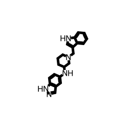 c1ccc2c(CN3CCCC(Nc4ccc5[nH]ncc5c4)C3)c[nH]c2c1